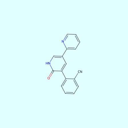 N#Cc1ccccc1-c1cc(-c2ccccn2)c[nH]c1=O